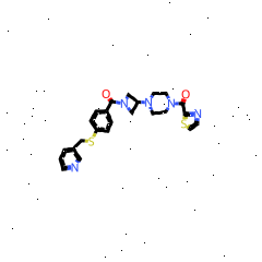 O=C(c1ccc(SCc2cccnc2)cc1)N1CC(N2CCN(C(=O)c3nccs3)CC2)C1